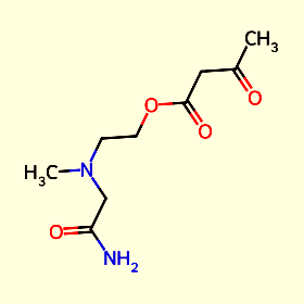 CC(=O)CC(=O)OCCN(C)CC(N)=O